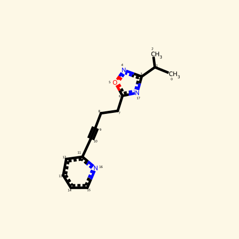 CC(C)c1noc(CCC#Cc2ccccn2)n1